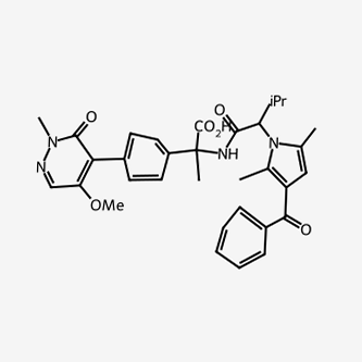 COc1cnn(C)c(=O)c1-c1ccc(C(C)(NC(=O)C(C(C)C)n2c(C)cc(C(=O)c3ccccc3)c2C)C(=O)O)cc1